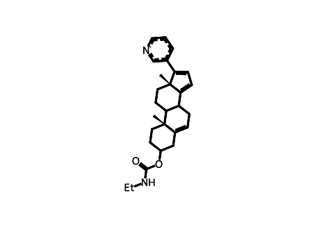 CCNC(=O)OC1CC[C@@]2(C)C(=CCC3C4=CC=C(c5cccnc5)[C@@]4(C)CCC32)C1